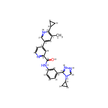 Cc1cc(-c2ccnc(C(=O)Nc3cccc(-c4nncn4C4CC4)c3)c2)cnc1C1CC1